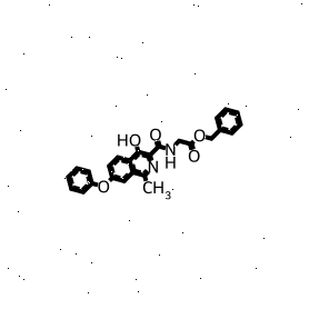 Cc1nc(C(=O)NCC(=O)OCc2ccccc2)c(O)c2ccc(Oc3ccccc3)cc12